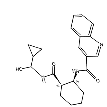 N#CC(NC(=O)[C@@H]1CCCC[C@@H]1NC(=O)c1cnc2ccccc2c1)C1CC1